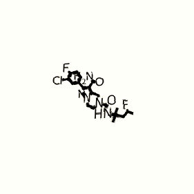 CC(F)CC(C)(C)NC(=O)N1CCn2nc(-c3ccc(F)c(Cl)c3)c(C(N)=O)c2C1